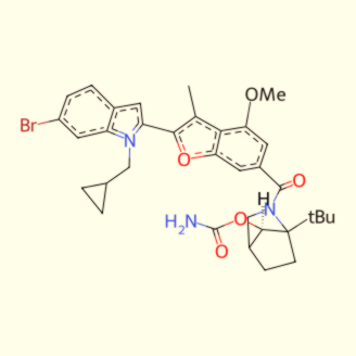 COc1cc(C(=O)N2CC3CCC2(C(C)(C)C)[C@@H]3OC(N)=O)cc2oc(-c3cc4ccc(Br)cc4n3CC3CC3)c(C)c12